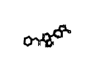 O=C1N=Cc2cc(-c3cnc(NCC4CCCCC4)c4ncnn34)ccc21